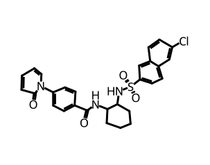 O=C(NC1CCCCC1NS(=O)(=O)c1ccc2cc(Cl)ccc2c1)c1ccc(-n2ccccc2=O)cc1